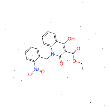 CCOC(=O)c1c(O)c2ccccc2n(Cc2ccccc2[N+](=O)[O-])c1=O